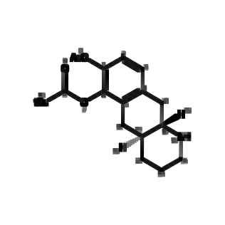 CC(=O)Oc1ccc2c(c1OC(=O)C(C)(C)C)C[C@@H]1CCCN[C@H]1C2